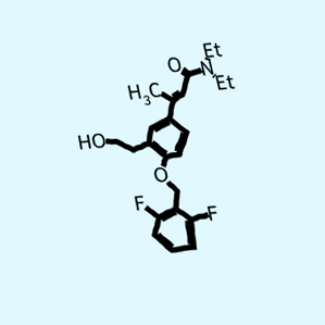 CCN(CC)C(=O)/C=C(\C)c1ccc(OCc2c(F)cccc2F)c(CCO)c1